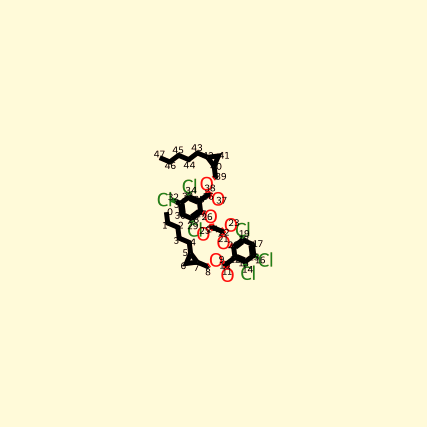 CCCCCC1CC1COC(=O)c1c(Cl)c(Cl)cc(Cl)c1OC(=O)C(=O)Oc1c(Cl)cc(Cl)c(Cl)c1C(=O)OCC1CC1CCCCC